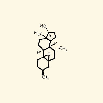 C=C1CC[C@@]23O[C@]2(C1)C[C@@H](C)[C@H]1[C@@H]2CC[C@@H](O)[C@@]2(C)CC[C@@H]13